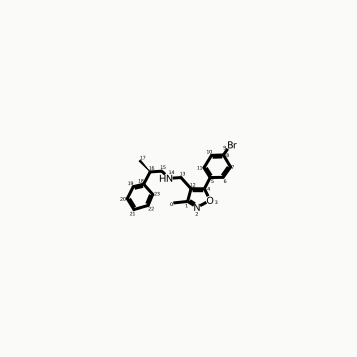 Cc1noc(-c2ccc(Br)cc2)c1CNC[C@H](C)c1ccccc1